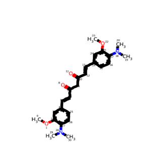 COc1cc(C=CC(=O)CC(=O)C=Cc2ccc(N(C)C)c(OC)c2)ccc1N(C)C